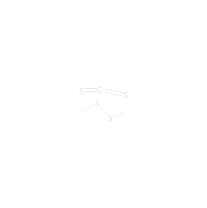 CSSC.S=C=S